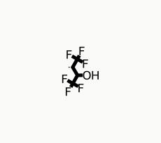 OC([CH]C(F)(F)F)C(F)(F)F